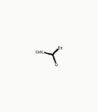 CCC([O])C=O